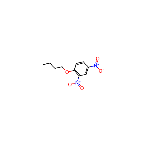 CCCCOc1ccc([N+](=O)[O-])cc1[N+](=O)[O-]